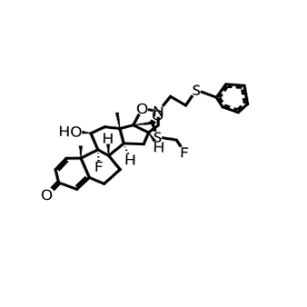 C[C@]12C=CC(=O)C=C1CC[C@H]1[C@@H]3C[C@H]4CN(CCSc5ccccc5)O[C@@]4(C(=O)SCF)[C@@]3(C)C[C@H](O)[C@@]12F